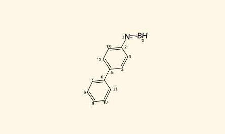 B=Nc1ccc(-c2ccccc2)cc1